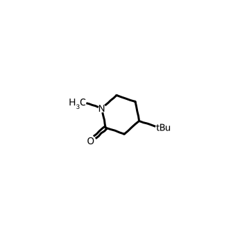 CN1CCC(C(C)(C)C)CC1=O